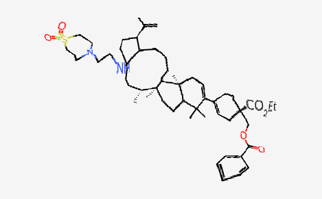 C=C(C)[C@@H]1CC[C@]2(NCCN3CCS(=O)(=O)CC3)CC[C@@H](C)[C@]3(C)CCC4C(C)(C)C(C5=CC[C@](COC(=O)c6ccccc6)(C(=O)OCC)CC5)=CC[C@]4(C)C3CCCC12